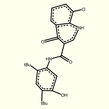 CC(C)(C)c1cc(C(C)(C)C)c(NC(=O)c2c[nH]c3c(Cl)cccc3c2=O)cc1O